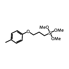 CO[Si](CCCOc1ccc(C)cc1)(OC)OC